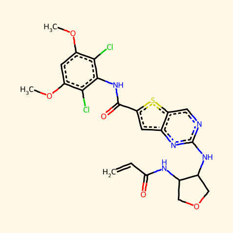 C=CC(=O)NC1COCC1Nc1ncc2sc(C(=O)Nc3c(Cl)c(OC)cc(OC)c3Cl)cc2n1